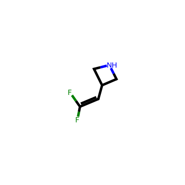 FC(F)=CC1CNC1